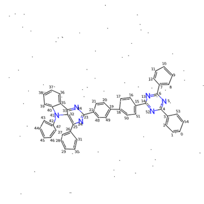 c1ccc(-c2nc(-c3ccccc3)nc(-c3ccc(-c4ccc(-c5nc(-c6ccccc6)c6c(n5)c5ccccc5n6-c5ccccc5)cc4)cc3)n2)cc1